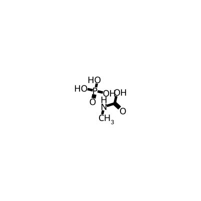 CNC(=O)O.O=P(O)(O)O